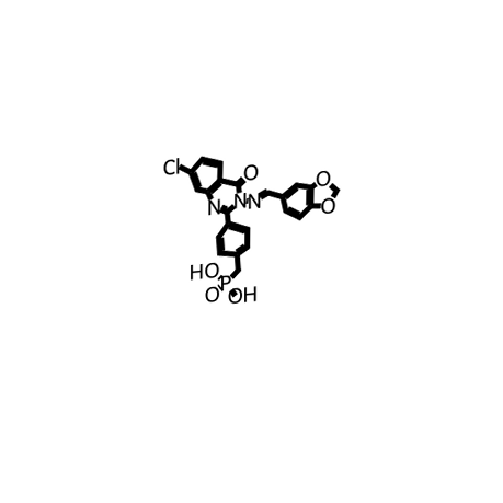 O=c1c2ccc(Cl)cc2nc(-c2ccc(CP(=O)(O)O)cc2)n1/N=C/c1ccc2c(c1)OCO2